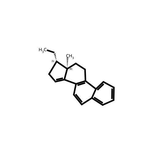 CC[C@H]1CC=C2c3ccc4ccccc4c3CC[C@@]21C